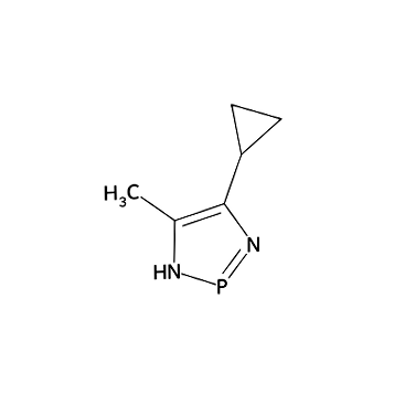 Cc1[nH]pnc1C1CC1